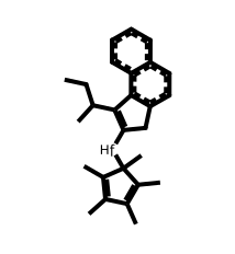 CCC(C)C1=[C]([Hf][C]2(C)C(C)=C(C)C(C)=C2C)Cc2ccc3ccccc3c21